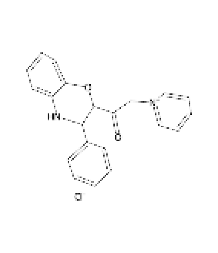 O=C(C[n+]1ccccc1)C1Oc2ccccc2NC1c1ccccc1.[Cl-]